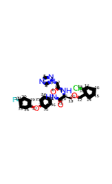 O=C(Cn1cncn1)N[C@@H](COCc1ccccc1Cl)C(=O)Nc1ccc(Oc2ccc(F)cc2)cc1